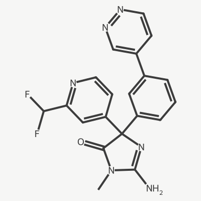 CN1C(=O)C(c2cccc(-c3ccnnc3)c2)(c2ccnc(C(F)F)c2)N=C1N